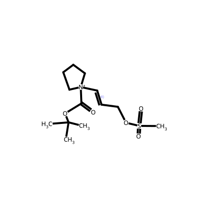 CC(C)(C)OC(=O)[N+]1(/C=C/COS(C)(=O)=O)CCCC1